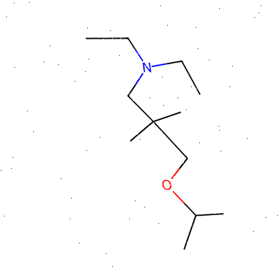 CCN(CC)CC(C)(C)COC(C)C